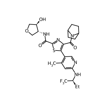 CC[C@H](Nc1cc(C)c(-c2sc(C(=O)N[C@@H]3COC[C@H]3O)nc2C(=O)N2C3CCC2CC3)cn1)C(F)(F)F